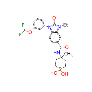 CCn1c(=O)n(-c2cccc(OC(F)F)c2)c2ccc(C(=O)NC3(C)CCS(O)(O)CC3)cc21